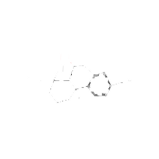 CC(C)c1ccc2c(c1)C[C@H](O)C1[C@@](C)(C=O)CCC[C@]21C